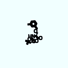 Cc1cccc(COC[C@@H](NC(=O)OC(C)(C)C)C(=O)O)c1